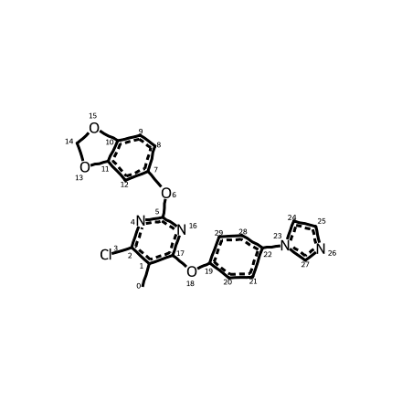 Cc1c(Cl)nc(Oc2ccc3c(c2)OCO3)nc1Oc1ccc(-n2ccnc2)cc1